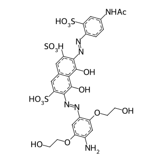 CC(=O)Nc1ccc(/N=N/c2c(S(=O)(=O)O)cc3cc(S(=O)(=O)O)c(/N=N/c4cc(OCCO)c(N)cc4OCCO)c(O)c3c2O)c(S(=O)(=O)O)c1